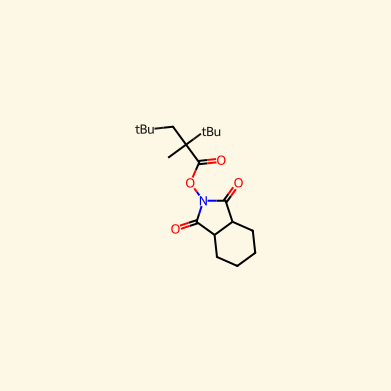 CC(C)(C)CC(C)(C(=O)ON1C(=O)C2CCCCC2C1=O)C(C)(C)C